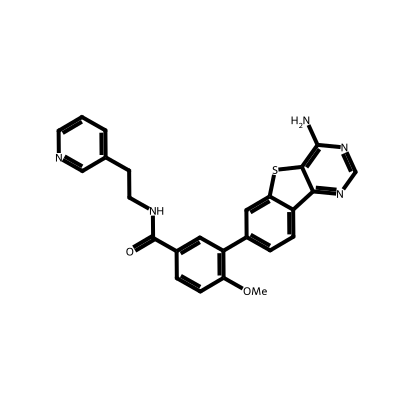 COc1ccc(C(=O)NCCc2cccnc2)cc1-c1ccc2c(c1)sc1c(N)ncnc12